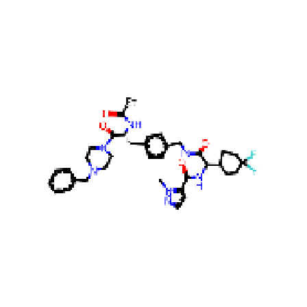 CCC(=O)N[C@H](Cc1ccc(CNC(=O)C(NC(=O)c2ccnn2C)C2CCC(F)(F)CC2)cc1)C(=O)N1CCN(Cc2ccccc2)CC1